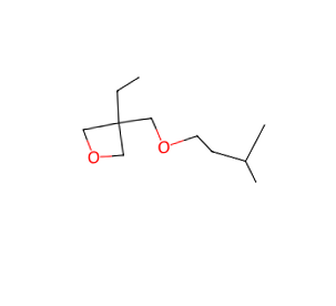 CCC1(COCCC(C)C)COC1